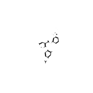 CS(=N)(=O)c1cccc(NC(=O)c2cc(C(F)(F)F)nnc2Oc2ccc(OC(F)F)cc2Cl)c1